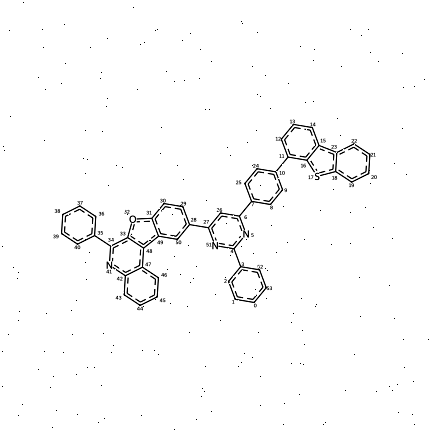 c1ccc(-c2nc(-c3ccc(-c4cccc5c4sc4ccccc45)cc3)cc(-c3ccc4oc5c(-c6ccccc6)nc6ccccc6c5c4c3)n2)cc1